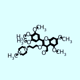 COc1cc(OC)c2c(c1)OC(c1cc(OC)c(OC)c(OC)c1)=C(OCCCN1CCN(C)CC1)C2C=O